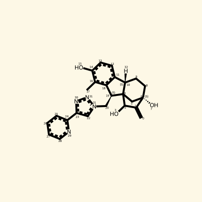 C=C1C(O)C23C[C@@]1(O)CC[C@H]2c1ccc(O)c(C)c1[C@@H]3Cn1cc(-c2ccccn2)nn1